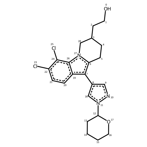 OCCC1CCc2c(-c3cnn(C4CCCCO4)c3)c3ccc(Cl)c(Cl)c3n2C1